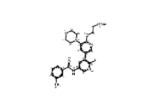 COCCOc1ncc(-c2cc(NC(=O)c3cccc(C(F)(F)F)c3)cnc2C)cc1N1CCOCC1